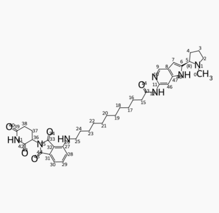 CN1CCC[C@@H]1c1cc2cnc(NC(=O)CCCCCCCCCCCNc3cccc4c3C(=O)N(C3CCC(=O)NC3=O)C4=O)cc2[nH]1